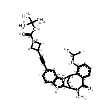 CN1C(=O)c2cccc(OC(F)F)c2C2CC1c1nc3ccc(C#CC4CN(C(=O)OC(C)(C)C)C4)cc3n12